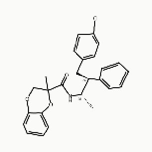 C[C@H](NC(=O)C1(C)COc2ccccc2O1)[C@@H](Cc1ccc(Cl)cc1)c1ccccc1